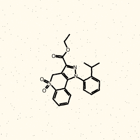 CCOC(=O)c1nn(-c2ccccc2C(C)C)c2c1CS(=O)(=O)c1ccccc1-2